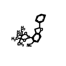 CC1(C)OB(c2c(C#N)ccc3c2CC(c2ccccc2)O3)OC1(C)C